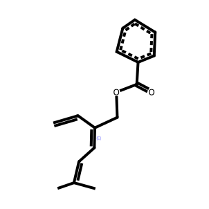 C=C/C(=C\C=C(C)C)COC(=O)c1ccccc1